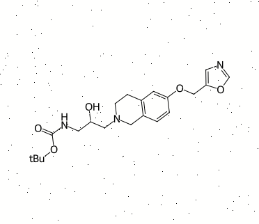 CC(C)(C)OC(=O)NCC(O)CN1CCc2cc(OCc3cnco3)ccc2C1